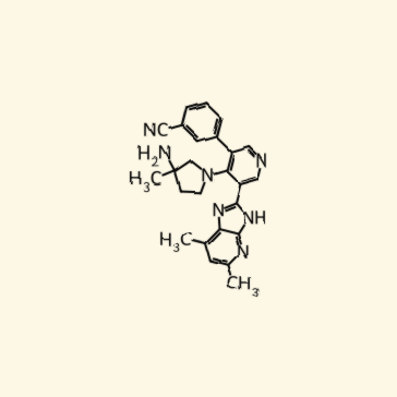 Cc1cc(C)c2nc(-c3cncc(-c4cccc(C#N)c4)c3N3CCC(C)(N)C3)[nH]c2n1